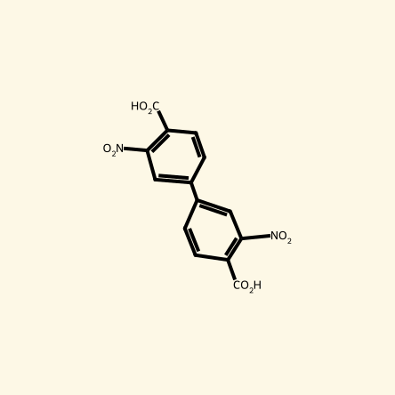 O=C(O)c1ccc(-c2ccc(C(=O)O)c([N+](=O)[O-])c2)cc1[N+](=O)[O-]